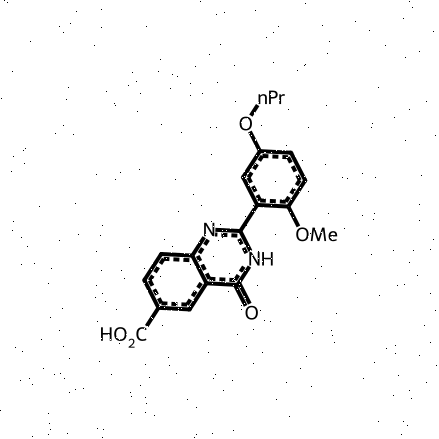 CCCOc1ccc(OC)c(-c2nc3ccc(C(=O)O)cc3c(=O)[nH]2)c1